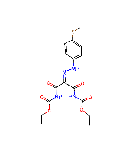 CCOC(=O)NC(=O)C(=NNc1ccc(SC)cc1)C(=O)NC(=O)OCC